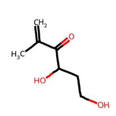 C=C(C)C(=O)C(O)CCO